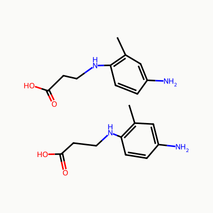 Cc1cc(N)ccc1NCCC(=O)O.Cc1cc(N)ccc1NCCC(=O)O